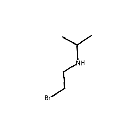 CC(C)NCCBr